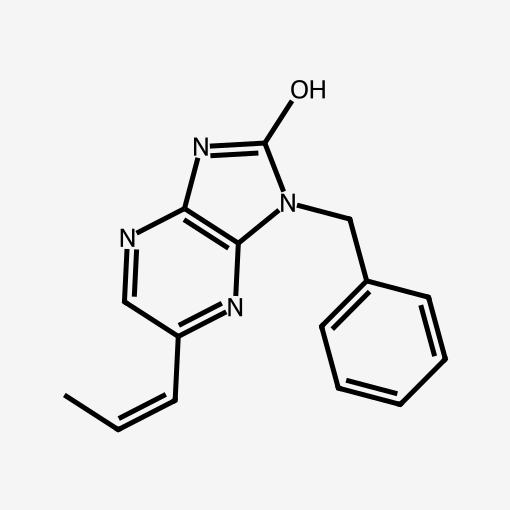 C/C=C\c1cnc2nc(O)n(Cc3ccccc3)c2n1